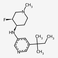 CCC(C)(C)c1cncc(N[C@@H]2CCN(C)C[C@@H]2F)c1